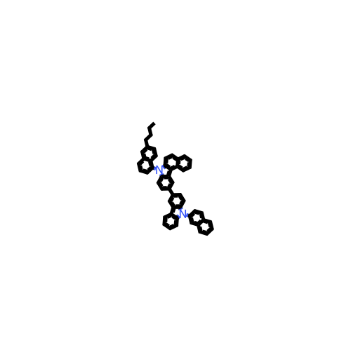 CCCCc1ccc2c(-n3c4ccc(-c5ccc6c(c5)c5ccccc5n6-c5ccc6ccccc6c5)cc4c4c5ccccc5ccc43)cccc2c1